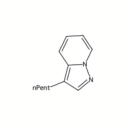 CCCCCc1cnn2ccccc12